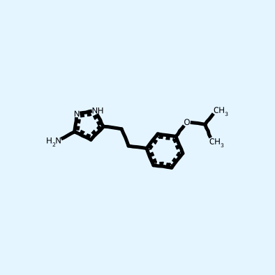 CC(C)Oc1cccc(CCc2cc(N)n[nH]2)c1